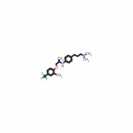 C=C(COc1ccc(C(F)(F)F)cc1C)Nc1ccc(CCCN(C)C)cc1